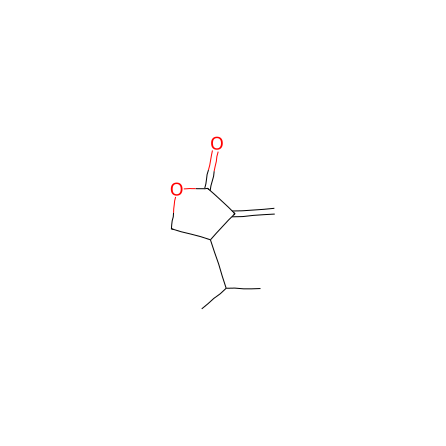 C=C1C(=O)OCC1C(C)C